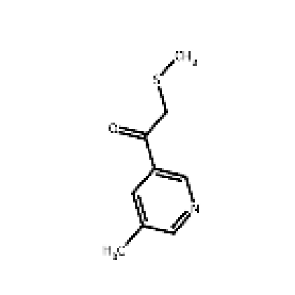 CSCC(=O)c1cncc(C)c1